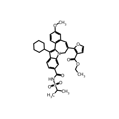 CCOC(=O)c1ccoc1C1=Cc2cc(OC)ccc2-c2c(C3CCCCC3)c3ccc(C(=O)NS(=O)(=O)C(C)C)cc3n2C1